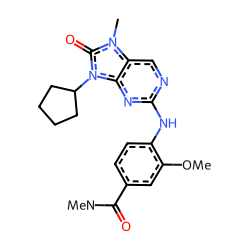 CNC(=O)c1ccc(Nc2ncc3c(n2)n(C2CCCC2)c(=O)n3C)c(OC)c1